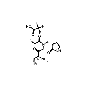 CC(C)C[C@H](N)C(=O)CN(C[C@@H]1CCNC1=O)C(=O)CF.O=C(O)C(F)(F)F